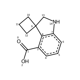 O=C(O)c1cccc2c1C1(CCC1)CN2